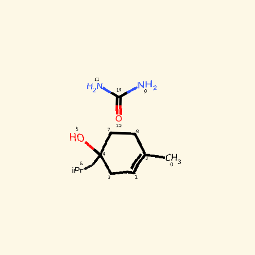 CC1=CCC(O)(C(C)C)CC1.NC(N)=O